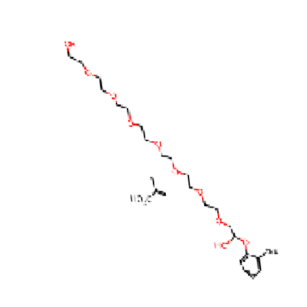 C=C(C)C(=O)O.CC(C)(C)c1ccccc1OC(O)COCCOCCOCCOCCOCCOCCOCCO